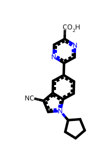 N#Cc1cn(C2CCCC2)c2ccc(-c3cnc(C(=O)O)cn3)cc12